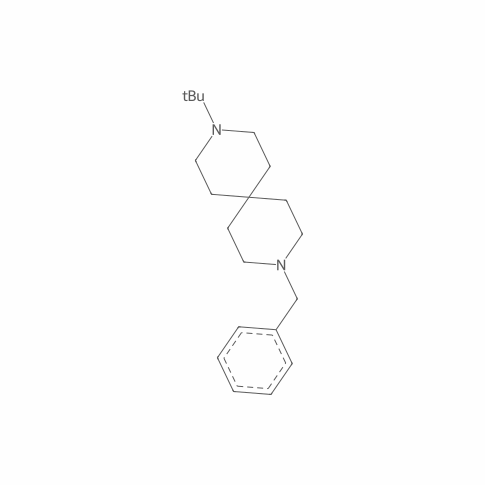 CC(C)(C)N1CCC2(CCN(Cc3ccccc3)CC2)CC1